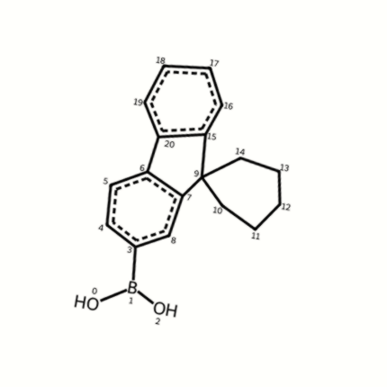 OB(O)c1ccc2c(c1)C1(CCCCC1)c1ccccc1-2